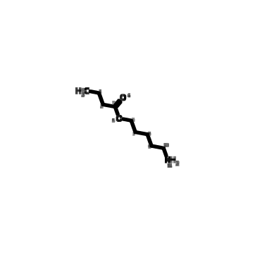 CCCC(=O)OCCCCCN